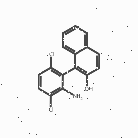 Nc1c(Cl)ccc(Cl)c1-c1c(O)ccc2ccccc12